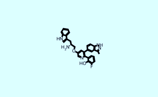 Cc1n[nH]c2ccc(-c3cc(OC[C@H](N)Cc4c[nH]c5ccccc45)cnc3-c3cccc(F)c3O)cc12